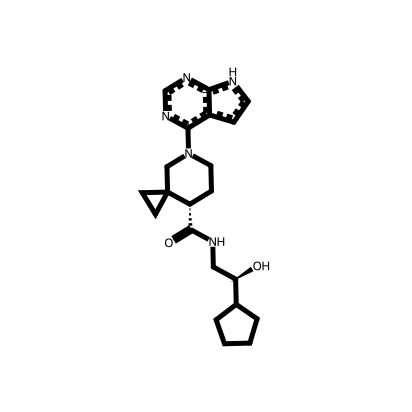 O=C(NC[C@@H](O)C1CCCC1)[C@H]1CCN(c2ncnc3[nH]ccc23)CC12CC2